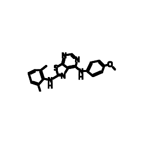 COc1ccc(Nc2ncnc3sc(Nc4c(C)cccc4C)nc23)cc1